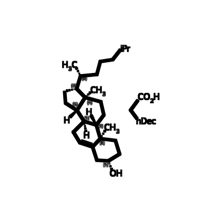 CC(C)CCC[C@@H](C)[C@H]1CC[C@H]2[C@@H]3CC=C4C[C@@H](O)CC[C@]4(C)[C@H]3CC[C@]12C.CCCCCCCCCCCC(=O)O